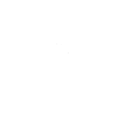 C1=COC=CO1.[Co]